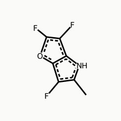 Cc1[nH]c2c(F)c(F)oc2c1F